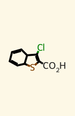 O=C(O)C1=C(Cl)C2C=CC=CC2S1